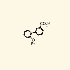 CCOc1ccccc1-c1cccc(C(=O)O)c1